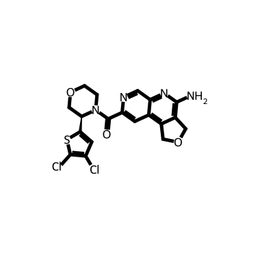 Nc1nc2cnc(C(=O)N3CCOC[C@@H]3c3cc(Cl)c(Cl)s3)cc2c2c1COC2